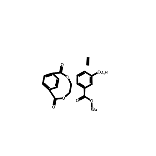 C=C.CC(C)(C)OC(=O)c1cccc(C(=O)O)c1.O=C1OCCOC(=O)c2ccc1cc2